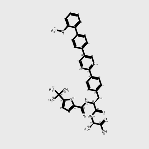 COc1ccccc1-c1ccc(-c2cnc(-c3ccc(C[C@H](NC(=O)c4ccc(C(C)(C)C)s4)C(=O)N[C@H](C)C(=O)O)cc3)nc2)cc1